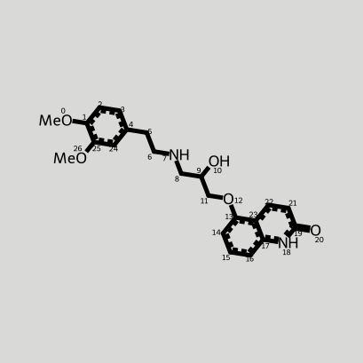 COc1ccc(CCNCC(O)COc2cccc3[nH]c(=O)ccc23)cc1OC